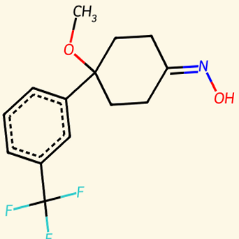 COC1(c2cccc(C(F)(F)F)c2)CCC(=NO)CC1